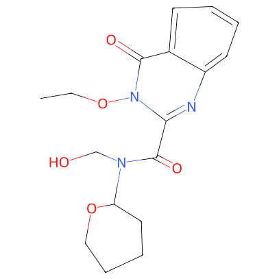 CCOn1c(C(=O)N(CO)C2CCCCO2)nc2ccccc2c1=O